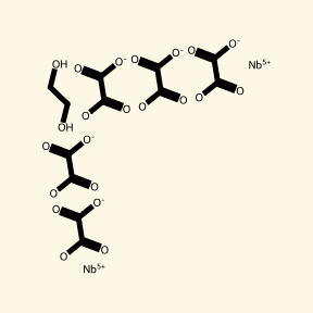 O=C([O-])C(=O)[O-].O=C([O-])C(=O)[O-].O=C([O-])C(=O)[O-].O=C([O-])C(=O)[O-].O=C([O-])C(=O)[O-].OCCO.[Nb+5].[Nb+5]